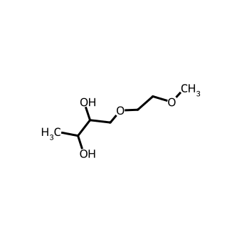 COCCOCC(O)C(C)O